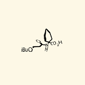 CC(C)COCCC(=O)NC1(C(=O)O)CCCCC1